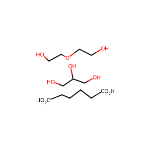 O=C(O)CCCCC(=O)O.OCC(O)CO.OCCOCCO